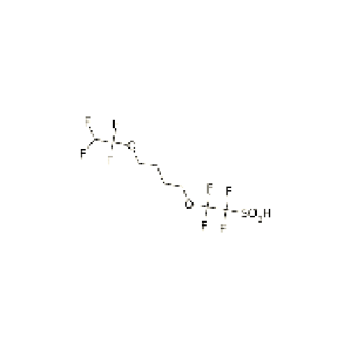 O=S(=O)(O)C(F)(F)C(F)(F)OCCCCOC(F)(F)C(F)F